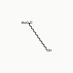 COC(=O)CCCCCCCCCCCCCCCCCO